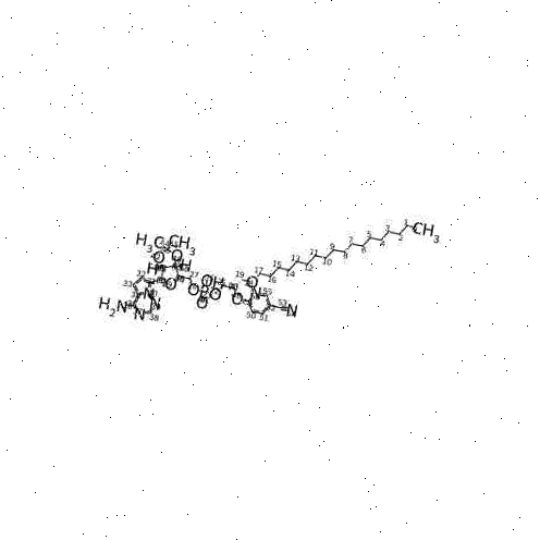 CCCCCCCCCCCCCCCCCCOC[C@@H](COP(=O)(O)OC[C@H]1O[C@@H](c2ccc3c(N)ncnn23)[C@@H]2OC(C)(C)O[C@@H]21)Oc1ccc(C#N)cn1